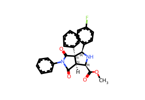 COC(=O)[C@@H]1N[C@H](c2ccc(F)cc2)[C@]2(c3ccccc3)C(=O)N(c3ccccc3)C(=O)[C@H]12